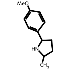 COc1ccc(C2CCC(C)N2)cc1